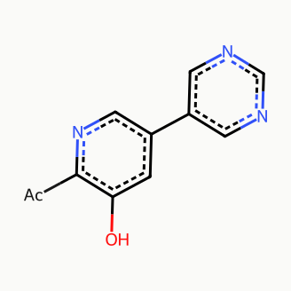 CC(=O)c1ncc(-c2cncnc2)cc1O